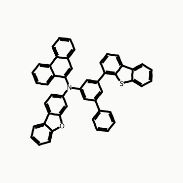 c1ccc(-c2cc(-c3cccc4c3sc3ccccc34)cc(N(c3ccc4c(c3)oc3ccccc34)c3cc4ccccc4c4ccccc34)c2)cc1